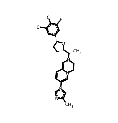 Cc1cn(C2=CN3CCN([C@@H](C)[C@@H]4CC[C@H](c5cc(F)c(Cl)c(Cl)c5)O4)C=C3C=C2)cn1